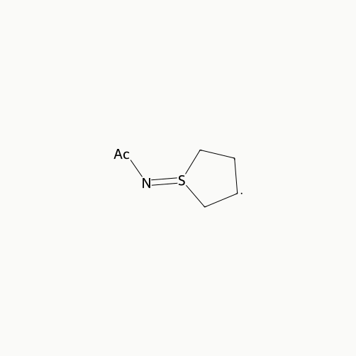 CC(=O)N=S1C[CH]CC1